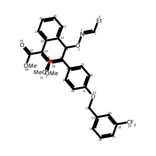 CCC=NOC(C(=NOC)c1ccc(OCc2cccc(C(F)(F)F)c2)cc1)c1ccccc1C(=COC)C(=O)OC